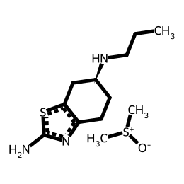 CCCN[C@H]1CCc2nc(N)sc2C1.C[S+](C)[O-]